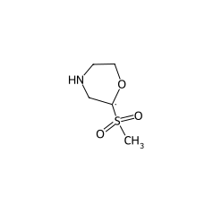 CS(=O)(=O)[C]1CNCCO1